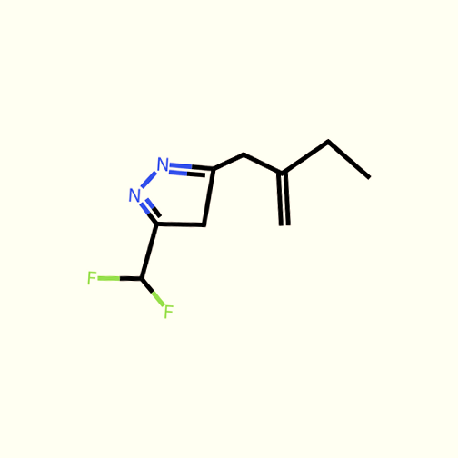 C=C(CC)CC1=NN=C(C(F)F)C1